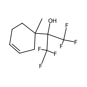 CC1(C(O)(C(F)(F)F)C(F)(F)F)CC=CCC1